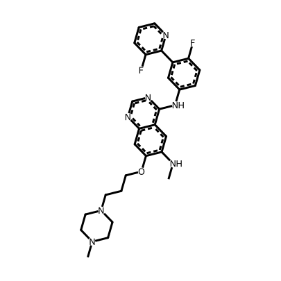 CNc1cc2c(Nc3ccc(F)c(-c4ncccc4F)c3)ncnc2cc1OCCCN1CCN(C)CC1